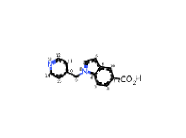 O=C(O)c1ccc2c(ccn2Cc2ccncc2)c1